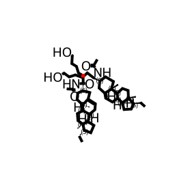 CC[C@H]1CC[C@H]2[C@@H]3CC=C4C[C@@H](C(CCCCCO)(NC(C)=O)OC(CCCCCO)(NC(C)=O)[C@H]5CC[C@@]6(C)C(=CC[C@H]7[C@@H]8CC[C@H](CC)[C@@]8(C)CC[C@@H]76)C5)CC[C@]4(C)[C@H]3CC[C@]12C